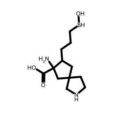 NC1(C(=O)O)CC2(CCNC2)CC1CCCBO